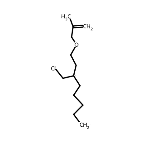 [CH2]CCCC[C](CCl)CCOCC(=C)C